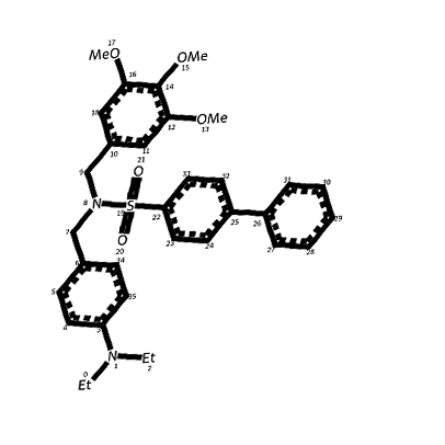 CCN(CC)c1ccc(CN(Cc2cc(OC)c(OC)c(OC)c2)S(=O)(=O)c2ccc(-c3ccccc3)cc2)cc1